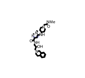 C=N/C(=C\C(=N/C)C(=O)NC[C@H](O)CN1CCc2ccccc2C1)NC1CCN(CC(=O)NC)CC1